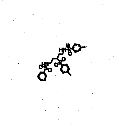 Cc1ccc(S(=O)(=O)NCCC(CCNS(=O)(=O)c2ccccc2)S(=O)(=O)c2ccc(C)cc2)cc1